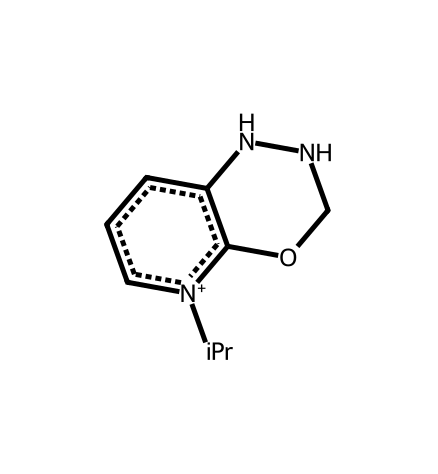 CC(C)[n+]1cccc2c1OCNN2